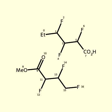 CCC(F)C(F)C(F)C(=O)O.COC(=O)C(F)C(F)CF